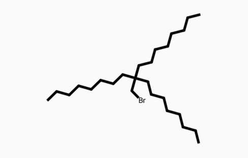 CCCCCCCCC(CBr)(CCCCCCCC)CCCCCCCC